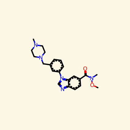 CON(C)C(=O)c1ccc2ncn(-c3cccc(CN4CCN(C)CC4)c3)c2c1